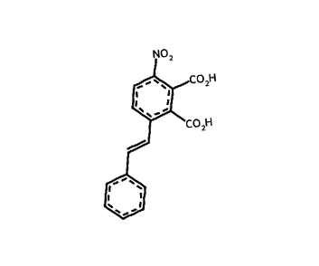 O=C(O)c1c(C=Cc2ccccc2)ccc([N+](=O)[O-])c1C(=O)O